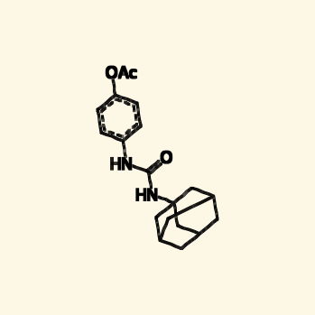 CC(=O)Oc1ccc(NC(=O)NC23CC4CC(CC(C4)C2)C3)cc1